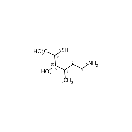 CC(CCN)[C@H](O)C(S)C(=O)O